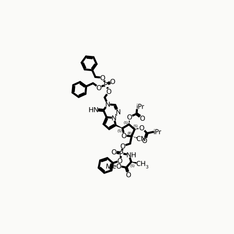 COC(=O)[C@H](C)NP(=O)(OC[C@@]1(C#N)O[C@@H](c2ccc3c(=N)n(COP(=O)(OCc4ccccc4)OCc4ccccc4)cnn23)[C@H](OC(=O)C(C)C)[C@@H]1OC(=O)C(C)C)Oc1ccccc1